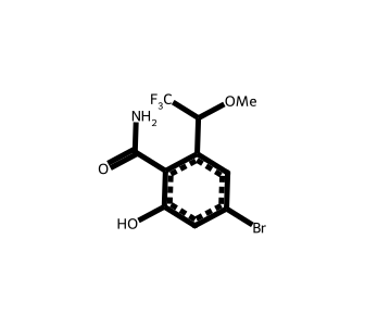 COC(c1cc(Br)cc(O)c1C(N)=O)C(F)(F)F